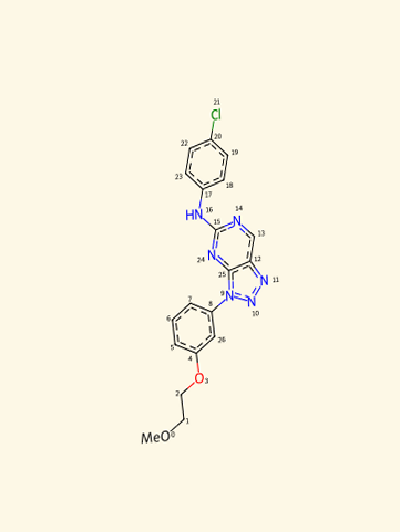 COCCOc1cccc(-n2nnc3cnc(Nc4ccc(Cl)cc4)nc32)c1